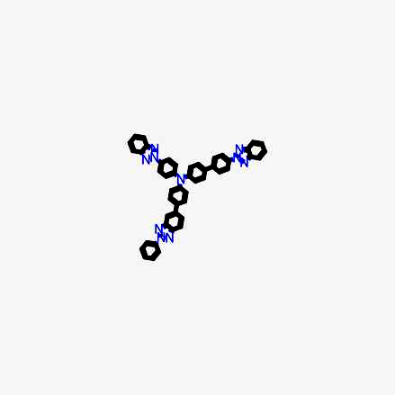 c1ccc(-n2nc3ccc(-c4ccc(N(c5ccc(-c6ccc(-n7nc8ccccc8n7)cc6)cc5)c5ccc(-n6nc7ccccc7n6)cc5)cc4)cc3n2)cc1